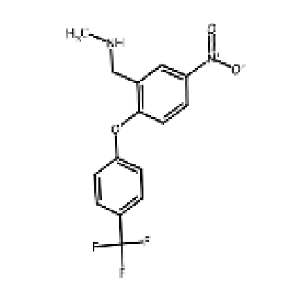 CNCc1cc([N+](=O)[O-])ccc1Oc1ccc(C(F)(F)F)cc1